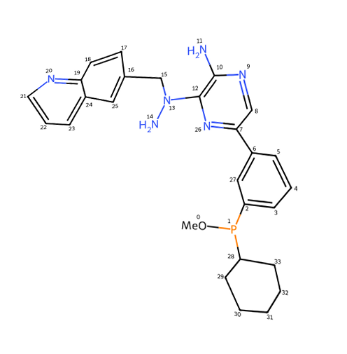 COP(c1cccc(-c2cnc(N)c(N(N)Cc3ccc4ncccc4c3)n2)c1)C1CCCCC1